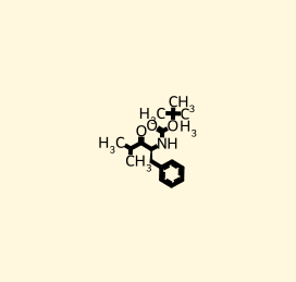 CC(C)C(=O)[C@H](Cc1ccccc1)NC(=O)OC(C)(C)C